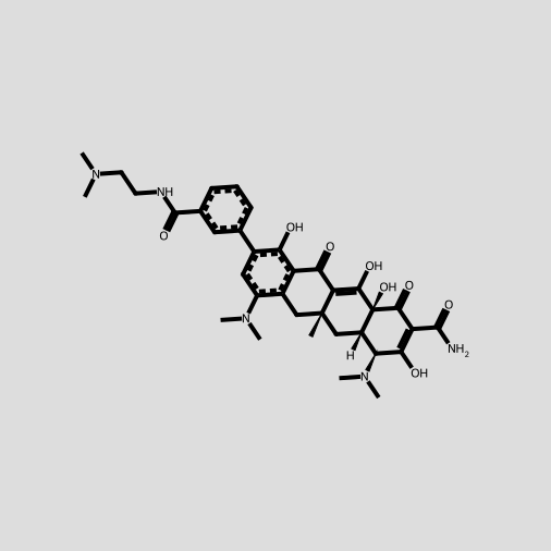 CN(C)CCNC(=O)c1cccc(-c2cc(N(C)C)c3c(c2O)C(=O)C2=C(O)[C@]4(O)C(=O)C(C(N)=O)=C(O)[C@@H](N(C)C)[C@@H]4C[C@]2(C)C3)c1